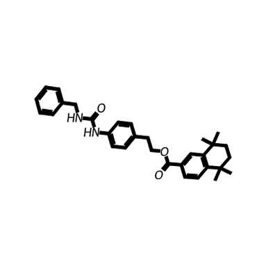 CC1(C)CCC(C)(C)c2cc(C(=O)OCCc3ccc(NC(=O)NCc4ccccc4)cc3)ccc21